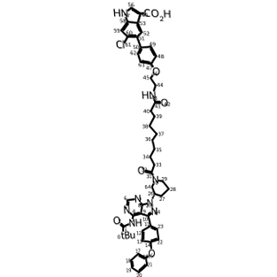 CC(C)(C)C(=O)Nc1ncnc2c1c(-c1ccc(Oc3ccccc3)cc1)nn2[C@@H]1CCCN(C(=O)CCCCCCCCC(=O)NCCOc2ccc(-c3cc4c(C(=O)O)c[nH]c4cc3Cl)cc2)C1